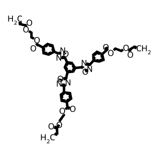 C=CC(=O)OCCOC(=O)c1ccc(-c2noc(-c3cc(-c4nc(-c5ccc(C(=O)OCCOC(=O)C=C)cc5)no4)cc(-c4nc(-c5ccc(C(=O)OCCOC(=O)C=C)cc5)no4)c3)n2)cc1